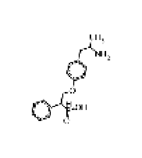 CC(N)Cc1ccc(OCC(c2ccccc2)[P@H](=O)O)cc1